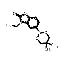 CC1(C)COB(c2ccc3oc(=O)n(CC(F)(F)F)c3c2)OC1